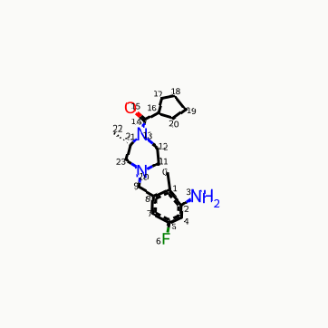 Cc1c(N)cc(F)cc1CN1CCN(C(=O)C2CCCC2)[C@@H](C)C1